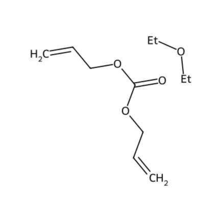 C=CCOC(=O)OCC=C.CCOCC